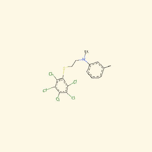 CCN(CCSc1c(Cl)c(Cl)c(Cl)c(Cl)c1Cl)c1cccc(C)c1